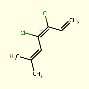 C=C/C(Cl)=C(/Cl)C=C(C)C